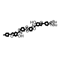 CCCCN(CCCC)c1ccc(-c2cc3cc(-c4nc5cc(S(=O)(=O)c6ccc7oc(-c8cc9cc(-c%10ccc(C)cc%10)oc9cc8O)nc7c6)ccc5o4)c(O)cc3o2)cc1